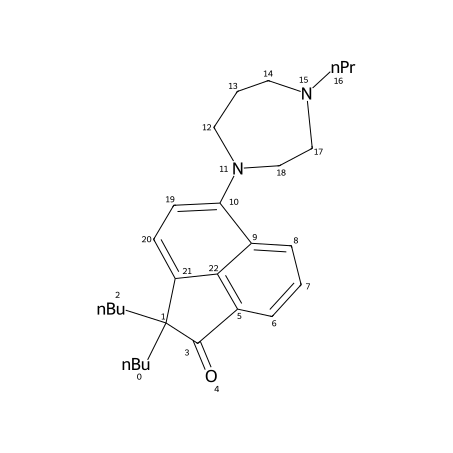 CCCCC1(CCCC)C(=O)c2cccc3c(N4CCCN(CCC)CC4)ccc1c23